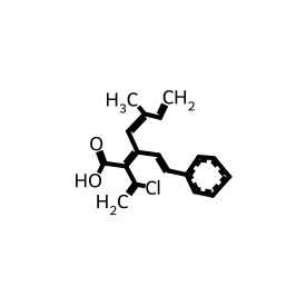 C=CC(C)=CC(C=Cc1ccccc1)=C(C(=C)Cl)C(=O)O